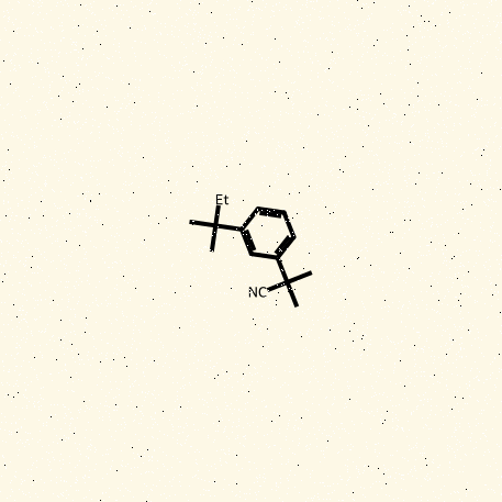 CCC(C)(C)c1cccc(C(C)(C)C#N)c1